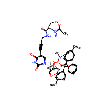 COc1ccc(C(C[C@@]23COC([C@H](n4cc(C#CCNC(=O)C(CC(C)C)NC(=O)C(F)(F)F)c(=O)[nH]c4=O)O2)[C@H]3OP(OCCC#N)N(C(C)C)C(C)C)(c2ccccc2)c2ccc(OC)cc2)cc1